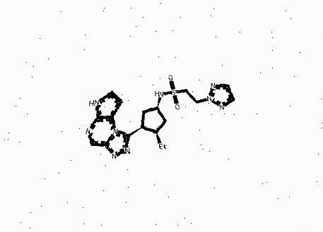 CC[C@@H]1C[C@H](NS(=O)(=O)CCn2nccn2)C[C@@H]1c1nnc2cnc3[nH]ccc3n12